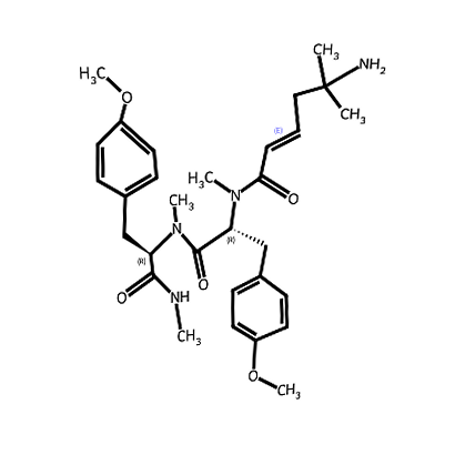 CNC(=O)[C@@H](Cc1ccc(OC)cc1)N(C)C(=O)[C@@H](Cc1ccc(OC)cc1)N(C)C(=O)/C=C/CC(C)(C)N